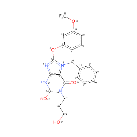 O=C1c2c(nc(Oc3cccc(OC(F)(F)F)c3)n2Cc2ccccc2)NC(O)N1CCCO